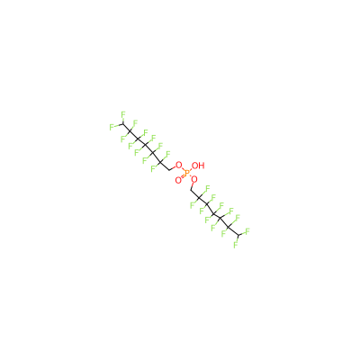 O=P(O)(OCC(F)(F)C(F)(F)C(F)(F)C(F)(F)C(F)(F)C(F)F)OCC(F)(F)C(F)(F)C(F)(F)C(F)(F)C(F)(F)C(F)F